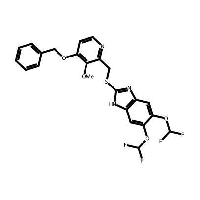 COc1c(OCc2ccccc2)ccnc1CSc1nc2cc(OC(F)F)c(OC(F)F)cc2[nH]1